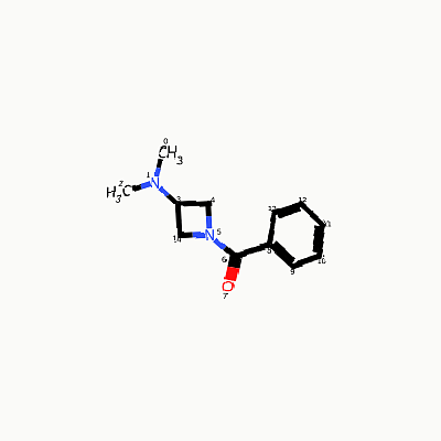 CN(C)C1CN(C(=O)c2c[c]ccc2)C1